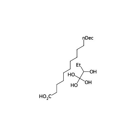 CCC(O)C(O)(O)O.CCCCCCCCCCCCCCCCCCCC(=O)O